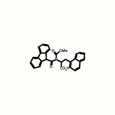 COC(=O)N(C(=O)C1c2ccccc2-c2ccccc21)C(Cc1cccc2ccccc12)C(=O)O